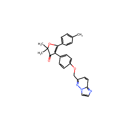 Cc1ccc(C2=C(c3ccc(OCc4ccc5nccn5n4)cc3)C(=O)C(C)(C)O2)cc1